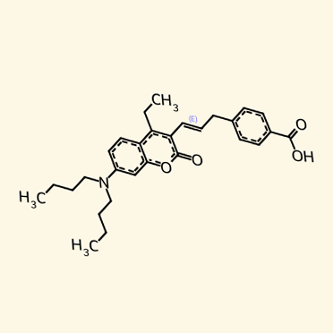 CCCCN(CCCC)c1ccc2c(CC)c(/C=C/Cc3ccc(C(=O)O)cc3)c(=O)oc2c1